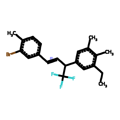 CCc1cc(C(/C=C/c2ccc(C)c(Br)c2)C(F)(F)F)cc(C)c1C